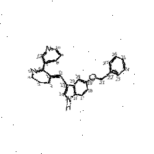 C(=C1/CCCN=C1c1cccnc1)/c1c[nH]c2ccc(OCc3ccccc3)cc12